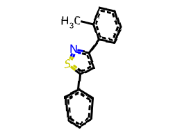 Cc1ccccc1-c1cc(-c2ccccc2)sn1